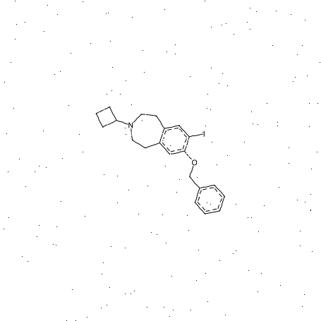 Ic1cc2c(cc1OCc1ccccc1)CCN(C1CCC1)CC2